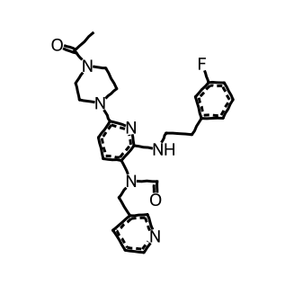 CC(=O)N1CCN(c2ccc(N(C=O)Cc3cccnc3)c(NCCc3cccc(F)c3)n2)CC1